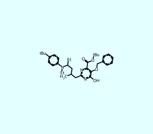 CCC(CC(C)Cc1nc(O)c(OCc2ccccc2)c(C(=O)OC(C)(C)C)n1)N(CC)c1ccc(C(C)(C)C)cc1